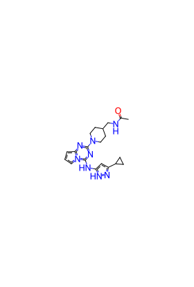 CC(=O)NCC1CCN(c2nc(Nc3cc(C4CC4)n[nH]3)n3cccc3n2)CC1